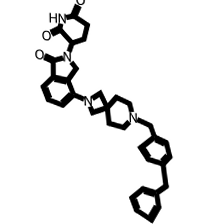 O=C1CCC(N2Cc3c(cccc3N3CC4(CCN(Cc5ccc(Cc6ccccc6)cc5)CC4)C3)C2=O)C(=O)N1